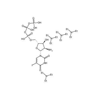 CCN(CC)CC.CCN(CC)CC.CCN(CC)CC.CCN(CC)CC.N[C@@H]1[C@H](O)[C@@H](COP(=O)(O)OP(=O)(O)OP(=O)(O)O)O[C@H]1n1cc(I)c(=O)[nH]c1=O